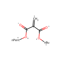 C=C(C(=O)OCCCC)C(=O)OCCCCC